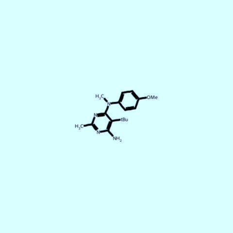 COc1ccc(N(C)c2nc(C)nc(N)c2C(C)(C)C)cc1